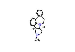 CN1CC[C@H]2[C@@H](C1)c1cccc3c1N2CCc1ccccc1-3